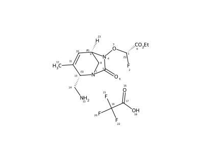 CCOC(=O)[C@H](F)ON1C(=O)N2C[C@H]1C=C(C)[C@H]2CN.O=C(O)C(F)(F)F